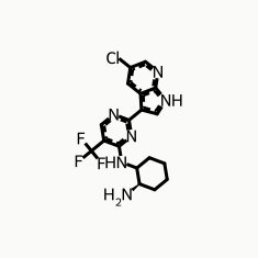 N[C@@H]1CCCCC1Nc1nc(-c2c[nH]c3ncc(Cl)cc23)ncc1C(F)(F)F